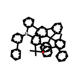 Cc1ccccc1C1(c2ccccc2Cc2ccccc2)c2ccccc2-c2cc(-c3ccccc3N(c3cccc(-c4ccccc4)c3)c3ccc4c(c3)C(C)(C)c3ccccc3-4)ccc21